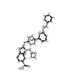 O=C(O)c1ccc2nc(CC34CCC(c5cccc(OCc6ccccc6)n5)(CC3)CC4)n(C[C@@H]3CCO3)c2c1